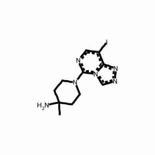 CC1(N)CCN(c2ncc(I)c3nncn23)CC1